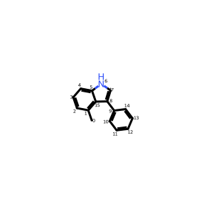 Cc1cccc2[nH][c]c(-c3ccccc3)c12